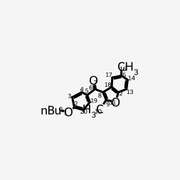 CCCCOc1ccc(C(=O)c2c(C)oc3ccc(C)cc23)cc1